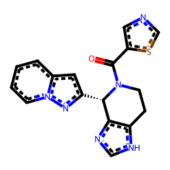 O=C(c1cncs1)N1CCc2[nH]cnc2[C@@H]1c1cc2ccccn2n1